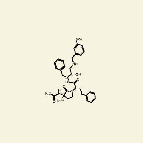 CC[C@H](C)[C@@]1(NC(=O)C(F)(F)F)CCN([C@@H](CCc2ccccc2)C(=O)N[C@@H](Cc2ccccc2)[C@@H](O)CNCc2cccc(OC)c2)C1=O